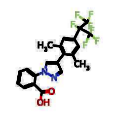 Cc1cc(C(F)(C(F)(F)F)C(F)(F)F)cc(C)c1-c1cnn(-c2ccccc2C(=O)O)c1